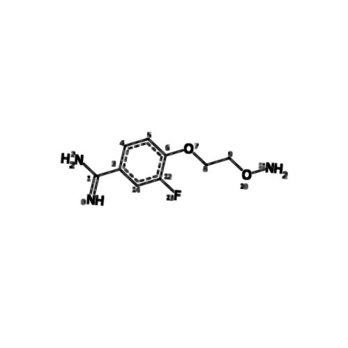 N=C(N)c1ccc(OCCON)c(F)c1